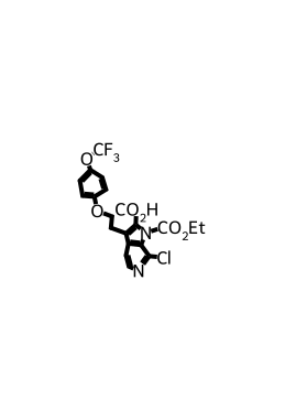 CCOC(=O)n1c(C(=O)O)c(CCOc2ccc(OC(F)(F)F)cc2)c2ccnc(Cl)c21